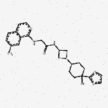 Cc1ccc2ccnc(NCC(=O)NC3CN(C4CCC(O)(c5nccs5)CC4)C3)c2c1